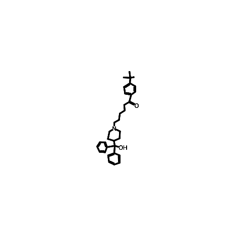 CC(C)(C)c1ccc(C(=O)CCCCCN2CCC(C(O)(c3ccccc3)c3ccccc3)CC2)cc1